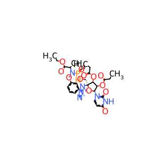 CCOC(=O)C(C)N(Oc1ccccc1)[PH](=O)OC[C@@]1(N=[N+]=[N-])O[C@@H](n2ccc(=O)[nH]c2=O)[C@H](OC(=O)CC)[C@@H]1OC(=O)CC